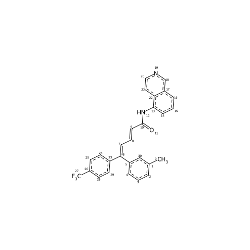 Cc1cccc(/C(=C\C=C\C(=O)Nc2cccc3cnccc23)c2ccc(C(F)(F)F)cc2)c1